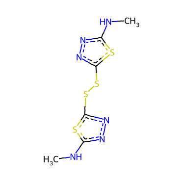 CNc1nnc(SSc2nnc(NC)s2)s1